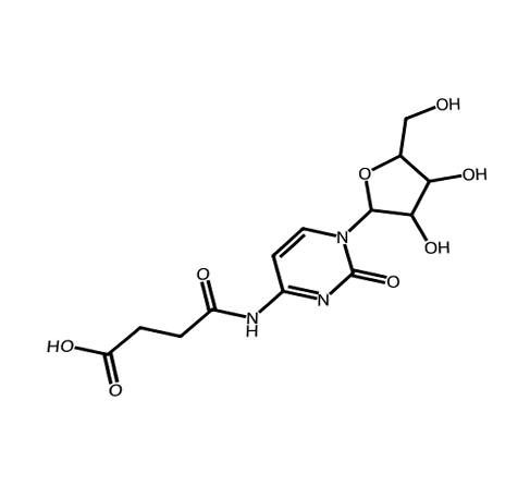 O=C(O)CCC(=O)Nc1ccn(C2OC(CO)C(O)C2O)c(=O)n1